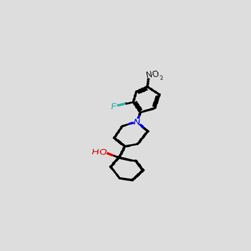 O=[N+]([O-])c1ccc(N2CCC(C3(O)CCCCC3)CC2)c(F)c1